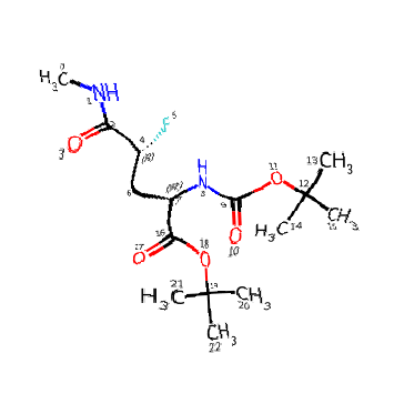 CNC(=O)[C@H](F)C[C@@H](NC(=O)OC(C)(C)C)C(=O)OC(C)(C)C